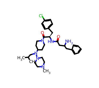 CC(C)CN(C1CCN(C(=O)[C@@H](Cc2ccc(Cl)cc2)NC(=O)CC(N)Cc2ccccc2)CC1)N1CCN(C)CC1